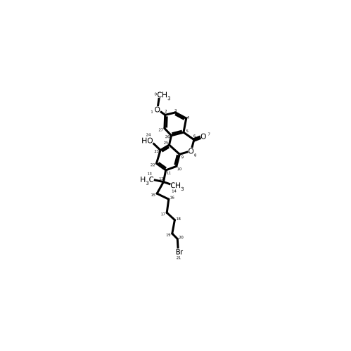 COc1ccc2c(=O)oc3cc(C(C)(C)CCCCCCBr)cc(O)c3c2c1